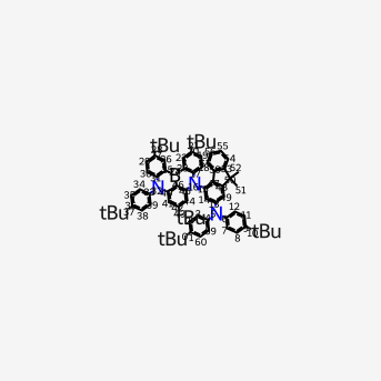 CC(C)(C)c1ccc(N(c2ccc(C(C)(C)C)cc2)c2cc(N3c4ccc(C(C)(C)C)cc4B4c5cc(C(C)(C)C)ccc5N(c5ccc(C(C)(C)C)cc5)c5cc(C(C)(C)C)cc3c54)c3c(c2)C(C)(C)c2ccccc2-3)cc1